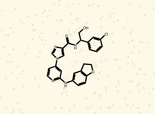 O=C(NC(CO)c1cccc(Cl)c1)c1cn(-c2ccnc(Nc3ccc4c(c3)CCO4)c2)cn1